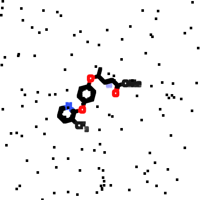 COC(=O)/C=C/C(C)Oc1ccc(Oc2ncccc2C(F)(F)F)cc1